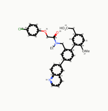 CCN(Cc1cc(-c2ccc3ncccc3c2)ccc1-c1cc(CC(=O)O)ccc1OC)C(=O)COc1ccc(Cl)cc1